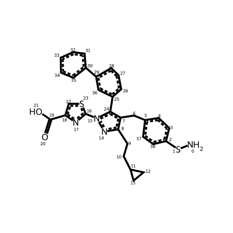 NSc1ccc(Cc2c(CCC3CC3)nn(-c3nc(C(=O)O)cs3)c2-c2cccc(-c3ccccc3)c2)cc1